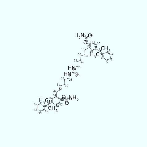 CC(C)(c1ccccc1)c1ccc(OC(N)=O)c(CCCCCCNC(=O)NCCCCCCc2cc(C(C)(C)c3ccccc3)ccc2OC(N)=O)c1